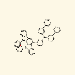 c1ccc(-c2cccc(N(c3cccc(-c4ccccc4)c3)c3cccc(-c4cc5c6ccccc6n(-c6ccccc6)c5c5c4c4ccccc4n5-c4ccccc4)c3)c2)cc1